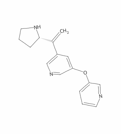 C=C(c1cncc(Oc2cccnc2)c1)[C@@H]1CCCN1